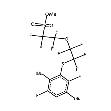 COS(=O)(=O)C(F)(F)C(F)(F)OC(F)(F)C(F)(F)Sc1c(F)c(C(C)(C)C)cc(F)c1C(C)(C)C